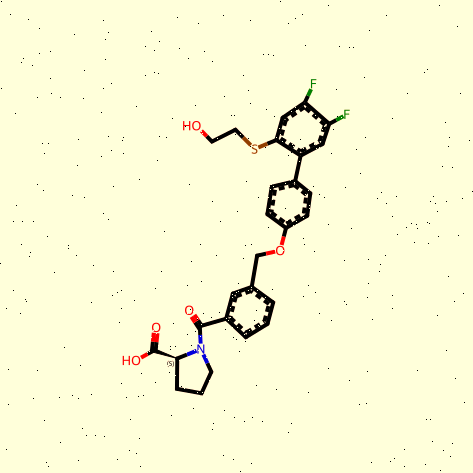 O=C(O)[C@@H]1CCCN1C(=O)c1cccc(COc2ccc(-c3cc(F)c(F)cc3SCCO)cc2)c1